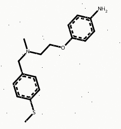 CSc1ccc(CN(C)CCOc2ccc(N)cc2)cc1